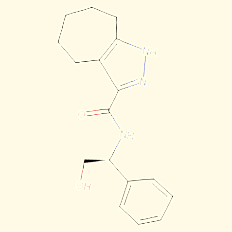 O=C(N[C@H](CO)c1ccccc1)c1n[nH]c2c1CCCCC2